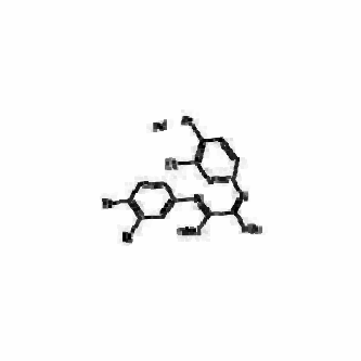 CCCCC(=Nc1ccc(CC)c(CC)c1)C(CCCC)=Nc1ccc(CC)c(CC)c1.[Pd]